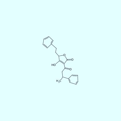 CC(CC(=O)C1=C(O)C(CCc2ccccc2)OC1=O)c1ccccc1